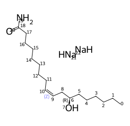 CCCCCC[C@@H](O)C/C=C\CCCCCCCC(N)=O.[NaH].[NaH]